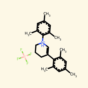 Cc1cc(C)c(C2=C[NH+](c3c(C)cc(C)cc3C)CCC2)c(C)c1.F[B-](F)(F)F